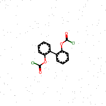 O=C(Cl)Oc1ccccc1-c1ccccc1OC(=O)Cl